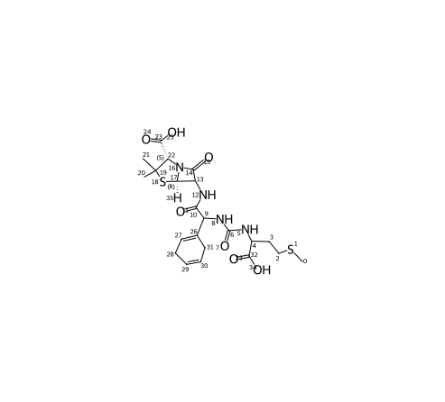 CSCCC(NC(=O)NC(C(=O)NC1C(=O)N2[C@@H]1SC(C)(C)[C@@H]2C(=O)O)C1=CCC=CC1)C(=O)O